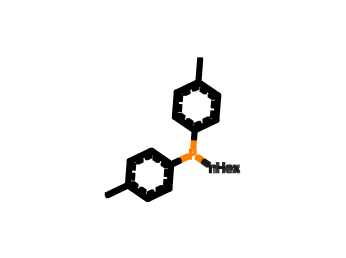 CCCCCCP(c1ccc(C)cc1)c1ccc(C)cc1